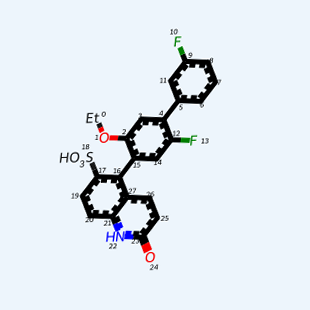 CCOc1cc(-c2cccc(F)c2)c(F)cc1-c1c(S(=O)(=O)O)ccc2[nH]c(=O)ccc12